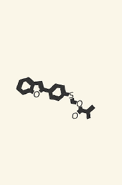 C=C(C)C(=O)OCSc1ccc(-c2cc3ccccc3o2)cc1